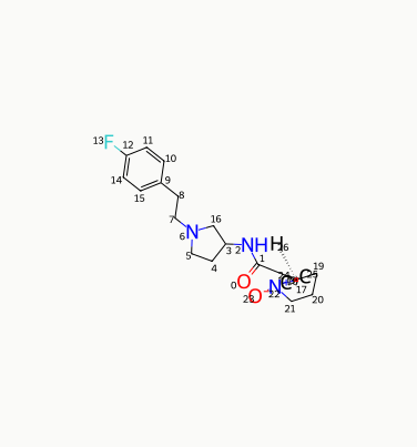 O=C(NC1CCN(CCc2ccc(F)cc2)C1)[C@@H]1CC2CC[N+]1([O-])CC2